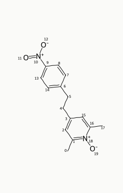 Cc1cc(CCc2ccc([N+](=O)[O-])cc2)cc(C)[n+]1[O-]